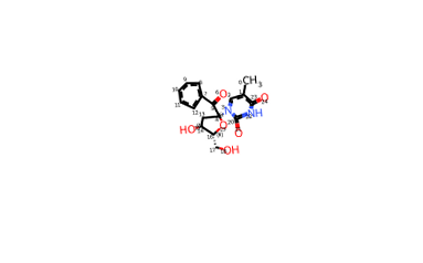 Cc1cn([C@@]2(C(=O)c3ccccc3)C[C@H](O)[C@@H](CO)O2)c(=O)[nH]c1=O